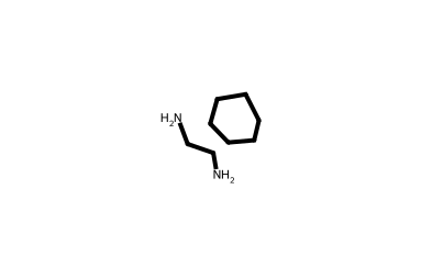 C1CCCCC1.NCCN